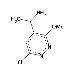 COc1nnc(Cl)cc1C(C)N